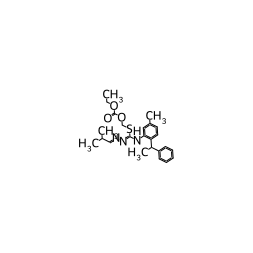 CCOC(=O)OCS/C(=N\N=C\C(C)C)Nc1cc(C)ccc1C(C)c1ccccc1